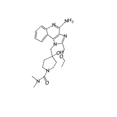 CCOCc1nc2c(N)nc3ccccc3c2n1CC1(O)CCN(C(=O)N(C)C)CC1